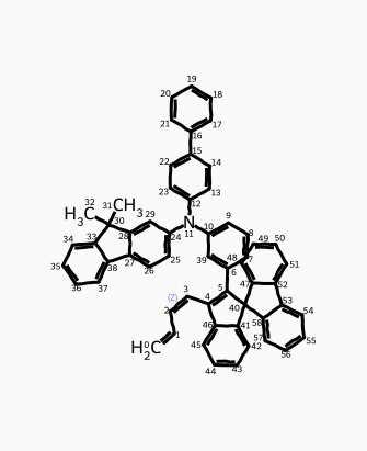 C=C/C=C\C1=C(c2cccc(N(c3ccc(-c4ccccc4)cc3)c3ccc4c(c3)C(C)(C)c3ccccc3-4)c2)C2(c3ccccc31)c1ccccc1-c1ccccc12